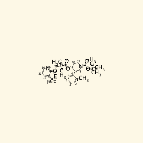 Cc1ccccc1C1CN(C(=O)OC(C)(C)C)CCC1OC(=O)C(C)(C)COc1ncccc1C(F)(F)F